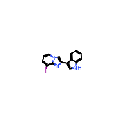 Ic1cccn2cc(-c3c[nH]c4ccccc34)nc12